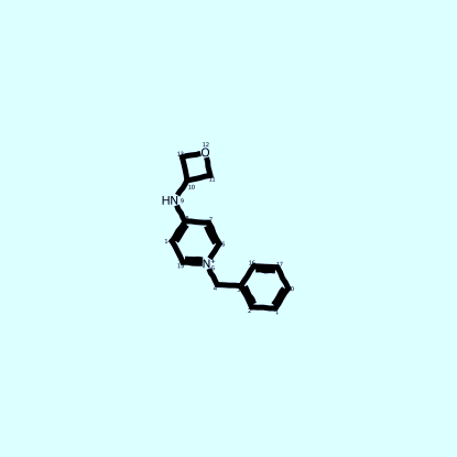 c1ccc(C[n+]2ccc(NC3COC3)cc2)cc1